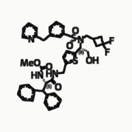 COC(=O)N[C@H](C(=O)NCc1ccc([C@@H](CO)N(CC2CC(F)(F)C2)S(=O)(=O)c2cccc(Cc3ccccn3)c2)s1)C(c1ccccc1)c1ccccc1